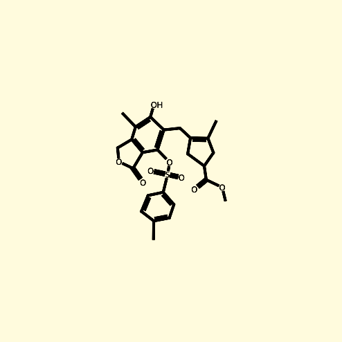 COC(=O)C1CC(C)=C(Cc2c(O)c(C)c3c(c2OS(=O)(=O)c2ccc(C)cc2)C(=O)OC3)C1